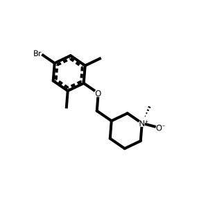 Cc1cc(Br)cc(C)c1OCC1CCC[N@+](C)([O-])C1